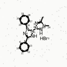 Br.CC1=NN(N2NC(c3ccccc3)=NN2c2ccccc2)NN1C